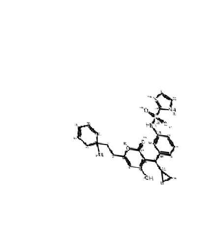 CCC1(CCc2cc(O)c(C(c3cccc(NS(=O)(=O)c4ncc[nH]4)c3)C3CC3)c(=O)o2)C=CC=CC1